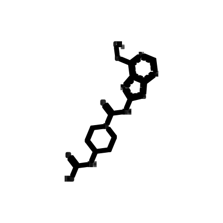 COc1ncnc2sc(NC(=O)N3CCC(NC(=O)O)CC3)nc12